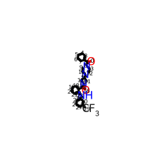 O=C(c1ccccc1)N1CCN(C2CN(C(=O)c3ccccc3Nc3cccc(C(F)(F)F)c3)C2)CC1